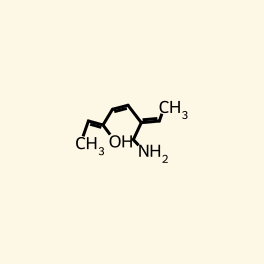 C/C=C(O)/C=C\C(=C/C)CN